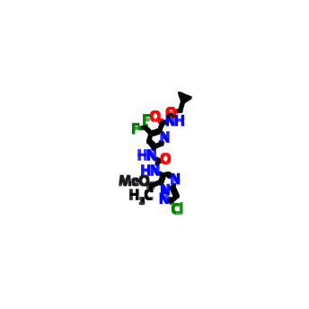 CO[C@@H](C)c1c(NC(=O)Nc2cnc(C(=O)NOCC3CC3)c(C(F)F)c2)cnc2cc(Cl)nn12